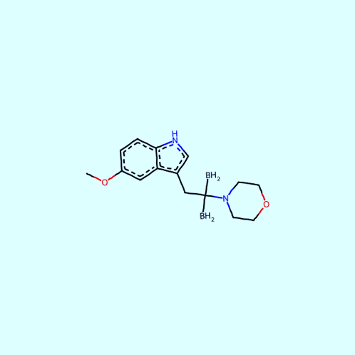 BC(B)(Cc1c[nH]c2ccc(OC)cc12)N1CCOCC1